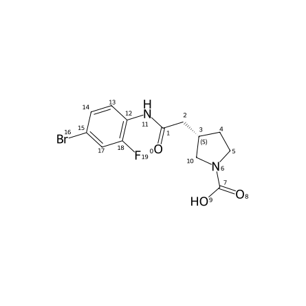 O=C(C[C@@H]1CCN(C(=O)O)C1)Nc1ccc(Br)cc1F